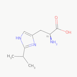 CC(C)c1nc(C[C@H](N)C(=O)O)c[nH]1